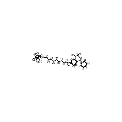 CCC(C)CC(c1ccccc1)c1ccc(OCCCCCCCCCCO[Si](C)(C)C(C)(C)C)cc1